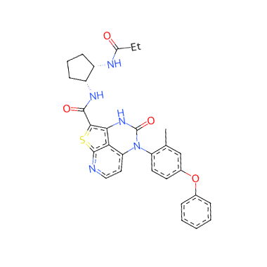 CCC(=O)N[C@H]1CCC[C@H]1NC(=O)c1sc2nccc3c2c1NC(=O)N3c1ccc(Oc2ccccc2)cc1C